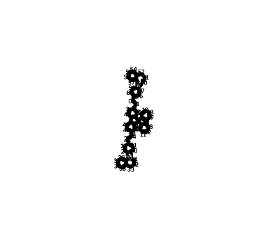 C(=C\c1ccc2c(c1)C(c1ccccc1)(c1ccccc1)c1cc(/C=C/c3ccc(N4CCCc5ccccc54)cc3)ccc1-2)/c1ccc(N2CCCc3ccccc32)cc1